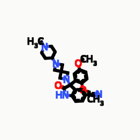 CCOc1ccc(OC)cc1C1(N2CC3(CN(C4CCN(C)CC4)C3)C2)C(=O)Nc2ccc(C#N)cc21